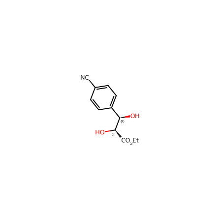 CCOC(=O)[C@@H](O)[C@H](O)c1ccc(C#N)cc1